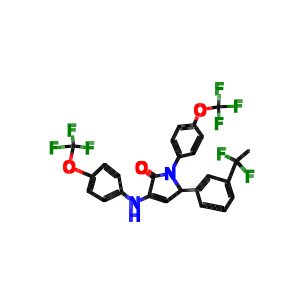 CC(F)(F)c1cccc(C2C=C(Nc3ccc(OC(F)(F)F)cc3)C(=O)N2c2ccc(OC(F)(F)F)cc2)c1